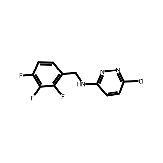 Fc1ccc(CNc2ccc(Cl)nn2)c(F)c1F